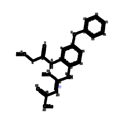 COCC(=O)Nc1cc(Oc2ccccc2)ccc1N/C(=N/C(=O)OC)SC